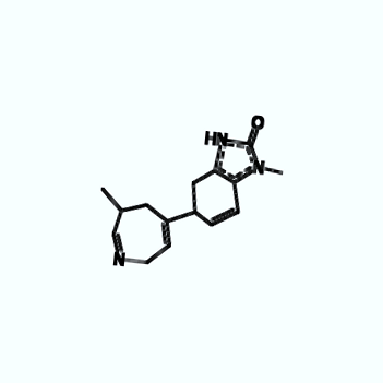 CC1C=NCC=C(C2C=Cc3c([nH]c(=O)n3C)C2)C1